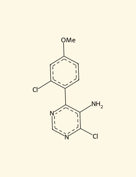 COc1ccc(-c2ncnc(Cl)c2N)c(Cl)c1